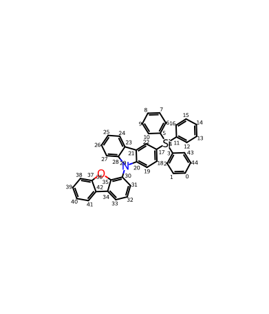 c1ccc([Si](c2ccccc2)(c2ccccc2)c2ccc3c(c2)c2ccccc2n3-c2cccc3c2oc2ccccc23)cc1